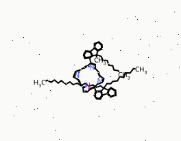 CCCCCCCCCCCCCCCCC1(CCCCCCCCCC)c2ccccc2-c2cccc(C3=C4C=CC(=N4)C=C4C=CC(=N4)C=C4N=C(C=C5C=CC3=N5)C=C4c3cccc4c3C(C)(CCCCCCCC)c3ccccc3-4)c21